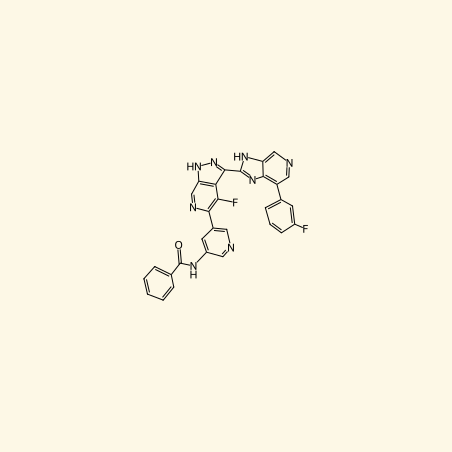 O=C(Nc1cncc(-c2ncc3[nH]nc(-c4nc5c(-c6cccc(F)c6)cncc5[nH]4)c3c2F)c1)c1ccccc1